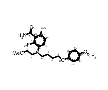 COCCN(CCCCOc1ccc(OC(F)(F)F)cc1)c1ccc(F)c(C(N)=O)c1F